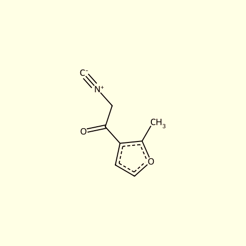 [C-]#[N+]CC(=O)c1ccoc1C